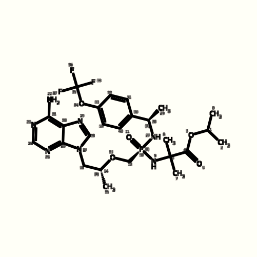 CC(C)OC(=O)C(C)(C)N[P@@](=O)(CO[C@H](C)Cn1cnc2c(N)ncnc21)N[C@H](C)c1ccc(OC(F)(F)F)cc1